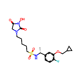 C[C@@H](NS(=O)(=O)CCCCCN1CC(=O)N(O)C1=O)c1ccc(F)c(OCC2CC2)c1